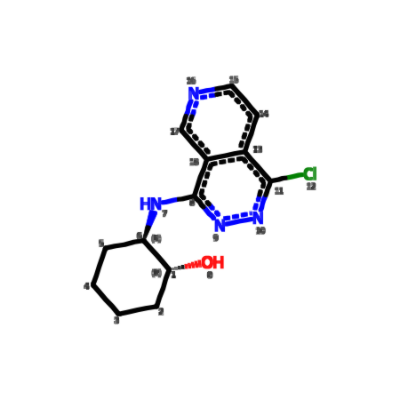 O[C@@H]1CCCC[C@H]1Nc1nnc(Cl)c2ccncc12